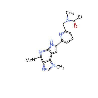 CCC(=O)N(C)Cc1cccc(-c2cc3c(nc(NC)c4ncn(C)c43)[nH]2)n1